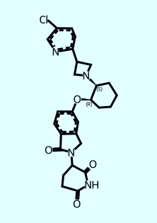 O=C1CCC(N2Cc3cc(O[C@@H]4CCCC[C@@H]4N4CC(c5ccc(Cl)cn5)C4)ccc3C2=O)C(=O)N1